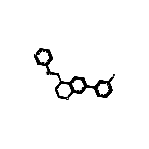 Fc1cccc(-c2ccc3c(c2)OCC[C@H]3CNc2cccnc2)c1